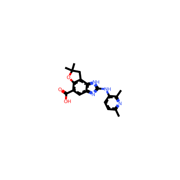 Cc1ccc(Nc2nc3cc(C(=O)O)c4c(c3[nH]2)CC(C)(C)O4)c(C)n1